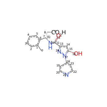 Cc1ccccc1[C@H](CC(=O)O)NC(=O)c1cc(O)n(-c2ccncc2)n1